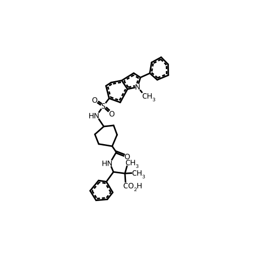 Cn1c(-c2ccccc2)cc2ccc(S(=O)(=O)NC3CCC(C(=O)NC(c4ccccc4)C(C)(C)C(=O)O)CC3)cc21